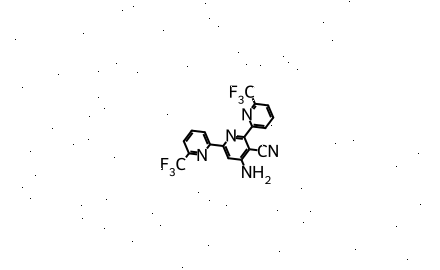 N#Cc1c(N)cc(-c2cccc(C(F)(F)F)n2)nc1-c1cccc(C(F)(F)F)n1